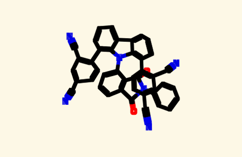 N#Cc1ccc(-c2cccc3c4cccc(-c5ccc(C#N)cc5C#N)c4n(-c4cccc5c4C(=O)N(c4ccccc4)C5=O)c23)c(C#N)c1